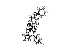 CN1CCN(C(CNS(=O)(=O)c2ccc(Oc3ccccc3)cc2)c2ccco2)CC1